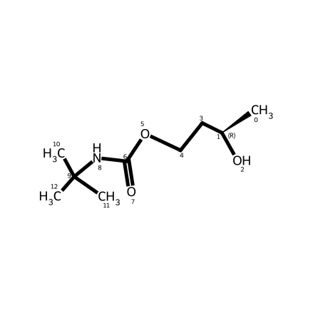 C[C@@H](O)CCOC(=O)NC(C)(C)C